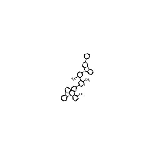 Cc1ccc(-n2c3ccccc3c3cc(-c4ccccc4)ccc32)cc1-c1cc(-c2cccc(-c3c(C)cccc3-n3c4ccccc4c4ccccc43)n2)cnc1C